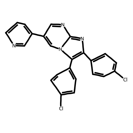 Clc1ccc(-c2nc3ncc(-c4cccnc4)cn3c2-c2ccc(Cl)cc2)cc1